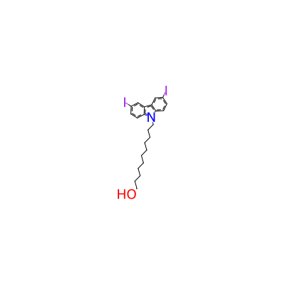 OCCCCCCCCCCCn1c2ccc(I)cc2c2cc(I)ccc21